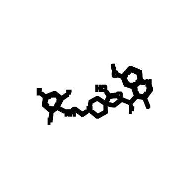 COc1ccc2ncc(C)c([C@@H](F)CCC3(C(=O)O)CCN(CCNc4c(F)cc(F)cc4F)CC3)c2c1